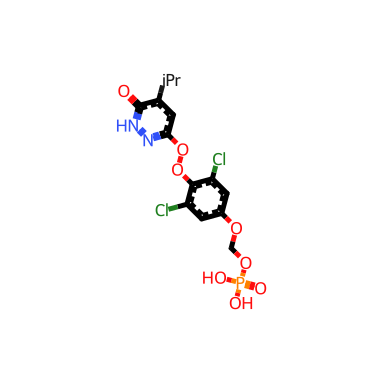 CC(C)c1cc(OOc2c(Cl)cc(OCOP(=O)(O)O)cc2Cl)n[nH]c1=O